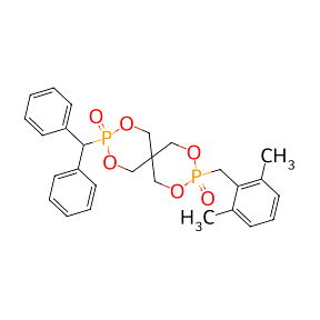 Cc1cccc(C)c1CP1(=O)OCC2(CO1)COP(=O)(C(c1ccccc1)c1ccccc1)OC2